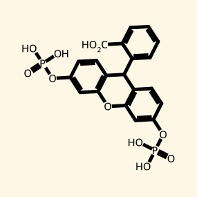 O=C(O)c1ccccc1C1c2ccc(OP(=O)(O)O)cc2Oc2cc(OP(=O)(O)O)ccc21